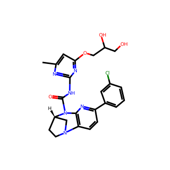 Cc1cc(OCC(O)CO)nc(NC(=O)N2c3nc(-c4cccc(Cl)c4)ccc3N3CC[C@H]2C3)n1